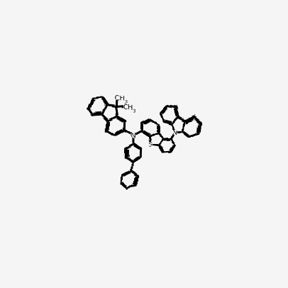 CC1(C)c2ccccc2-c2ccc(N(c3ccc(-c4ccccc4)cc3)c3cccc4c3sc3cccc(-n5c6ccccc6c6ccccc65)c34)cc21